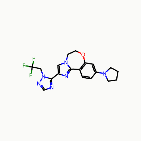 FC(F)(F)Cn1ncnc1-c1cn2c(n1)-c1ccc(N3CCCC3)cc1OCC2